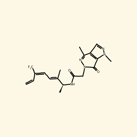 C=C/C(=C\C=C(/C)[C@H](C)NC(=O)Cn1nc(C)c2cnn(C)c2c1=O)C(F)(F)F